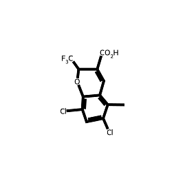 Cc1c(Cl)cc(Cl)c2c1C=C(C(=O)O)C(C(F)(F)F)O2